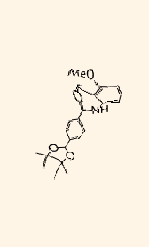 COc1cccc(NC(=O)c2ccc(C3OC(C)(C)C(C)(C)O3)cc2)c1F